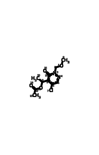 COCn1ncc(Cl)c(C(C)OC(C)=O)c1=O